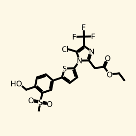 CCOC(=O)Cc1nc(C(F)(F)F)c(Cl)n1-c1ccc(-c2ccc(CO)c(S(C)(=O)=O)c2)s1